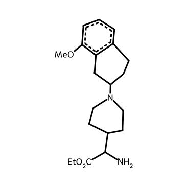 CCOC(=O)C(N)C1CCN(C2CCc3cccc(OC)c3C2)CC1